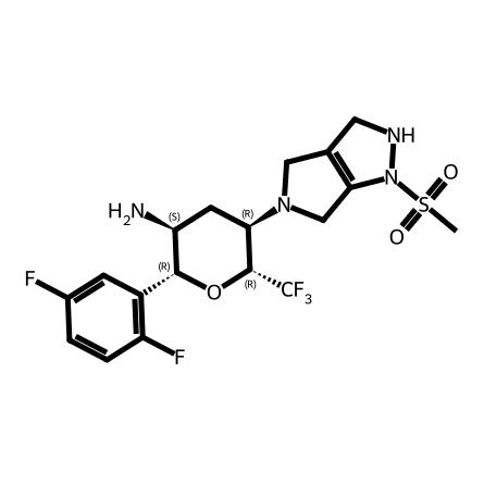 CS(=O)(=O)N1NCC2=C1CN([C@@H]1C[C@H](N)[C@@H](c3cc(F)ccc3F)O[C@H]1C(F)(F)F)C2